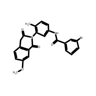 COc1ccc2c(c1)C(=O)N(c1cc(NC(=O)c3cccc(Br)c3)ccc1C)C(=O)C2